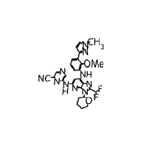 COc1c(Nc2cc(Nc3cncc(C#N)n3)nc3c2nc(C(F)F)n3C2CCCCO2)cccc1-c1ccn(C)n1